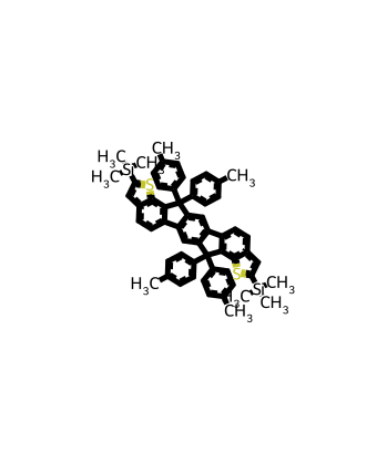 Cc1ccc(C2(c3ccc(C)cc3)c3cc4c(cc3-c3ccc5cc([Si](C)(C)C)sc5c32)C(c2ccc(C)cc2)(c2ccc(C)cc2)c2c-4ccc3cc([Si](C)(C)C)sc23)cc1